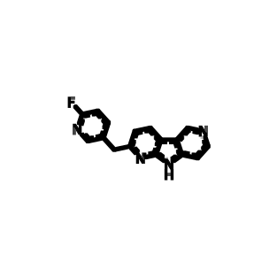 Fc1ccc(Cc2ccc3c(n2)[nH]c2ccncc23)cn1